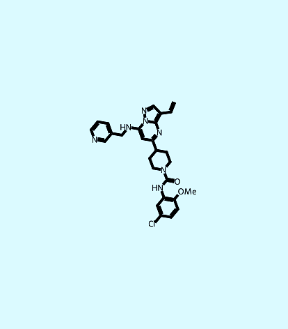 C=Cc1cnn2c(NCc3cccnc3)cc(C3CCN(C(=O)Nc4cc(Cl)ccc4OC)CC3)nc12